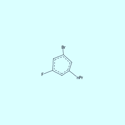 [CH2]CCc1cc(F)cc(Br)c1